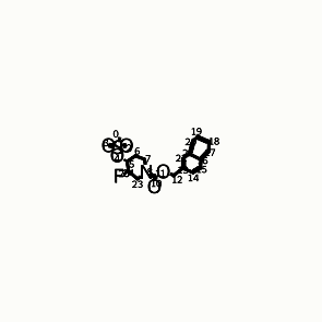 CS(=O)(=O)O[C@H]1CCN(C(=O)OCc2ccc3ccccc3c2)C[C@H]1F